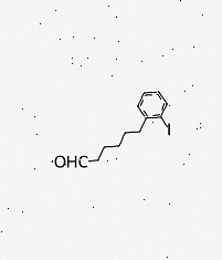 O=[C]CCCCCc1ccccc1I